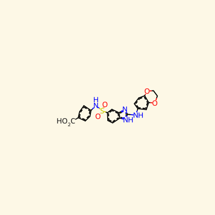 O=C(O)c1ccc(NS(=O)(=O)c2ccc3[nH]c(Nc4ccc5c(c4)OCCO5)nc3c2)cc1